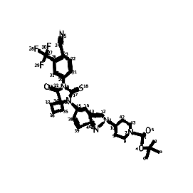 CC(C)(C)OC(=O)N1CCC(n2cc3cc(N4C(=S)N(c5ccc(C#N)c(C(F)(F)F)c5)C(=O)C45CCC5)ccc3n2)CC1